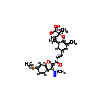 CNc1c(C(=O)/C=C/c2cc(C)c(OC(C)(C)C(=O)O)c(C)c2)oc2cc(SC)ccc12